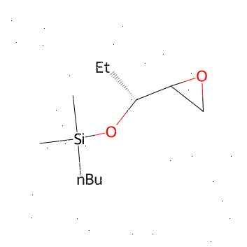 CCCC[Si](C)(C)O[C@H](CC)C1CO1